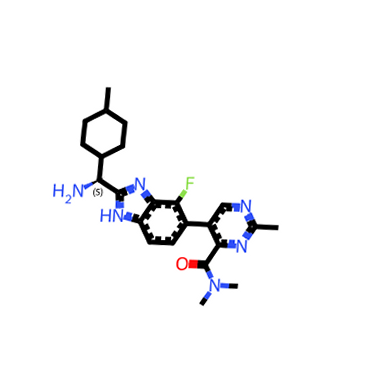 Cc1ncc(-c2ccc3[nH]c([C@@H](N)C4CCC(C)CC4)nc3c2F)c(C(=O)N(C)C)n1